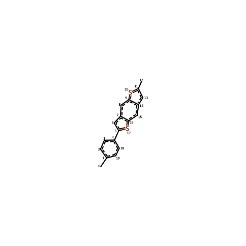 Cc1ccc(-c2cc3cc4sc(C)cc4cc3s2)cc1